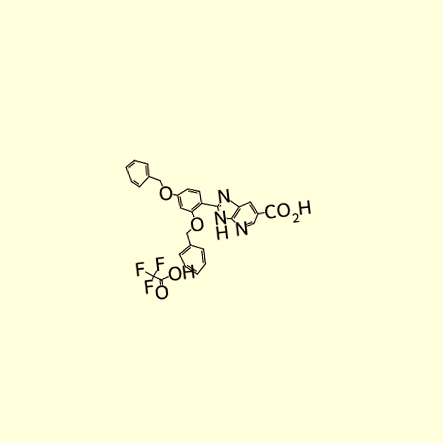 O=C(O)C(F)(F)F.O=C(O)c1cnc2[nH]c(-c3ccc(OCc4ccccc4)cc3OCc3ccccc3)nc2c1